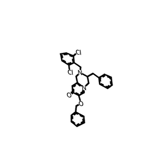 O=c1cc2n(cc1OCc1ccccc1)CC(Cc1ccccc1)N(Cc1c(Cl)cccc1Cl)C2